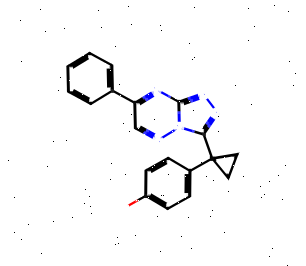 Oc1ccc(C2(c3nnc4nc(-c5ccccc5)cnn34)CC2)cc1